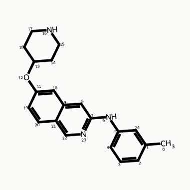 Cc1cccc(Nc2cc3cc(OC4CCNCC4)ccc3cn2)c1